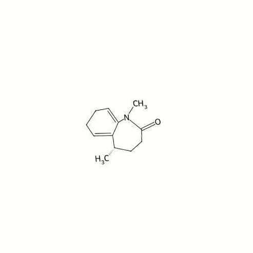 C[C@H]1CCC(=O)N(C)C2=CCCC=C21